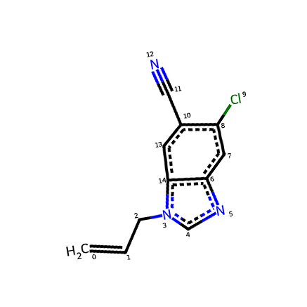 C=CCn1cnc2cc(Cl)c(C#N)cc21